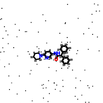 O=C(Nc1ccc(N2CCCCC2)nc1)C(c1ccccc1)c1ccccc1